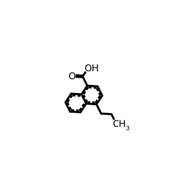 CCCc1ccc(C(=O)O)c2ccccc12